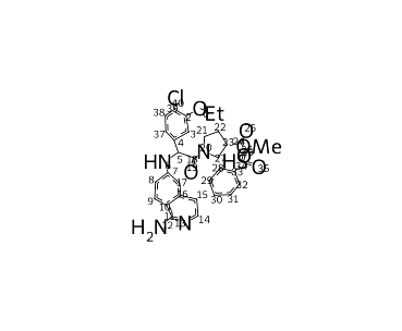 CCOc1cc(C(Nc2ccc3c(N)nccc3c2)C(=O)N2CC[C@H](C(=O)OC)[C@@H]2c2ccccc2[SH](=O)=O)ccc1Cl